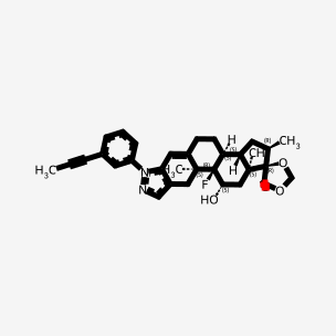 CC#Cc1cccc(-n2ncc3c2C=C2CC[C@H]4[C@@H]5C[C@@H](C)[C@@]6(OCOC67COCO7)[C@@]5(C)C[C@H](O)[C@]4(F)[C@@]2(C)C3)c1